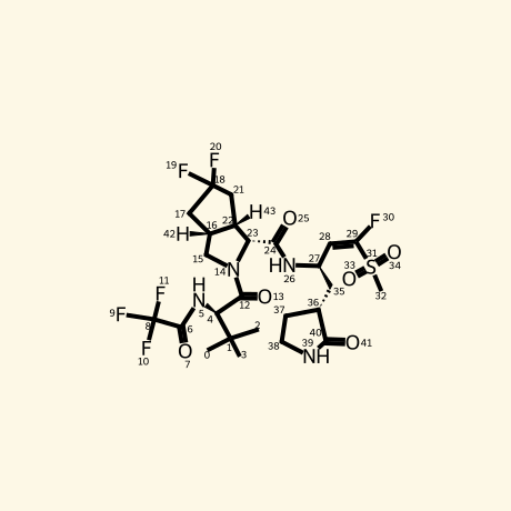 CC(C)(C)[C@@H](NC(=O)C(F)(F)F)C(=O)N1C[C@@H]2CC(F)(F)C[C@@H]2[C@@H]1C(=O)N[C@@H](/C=C(/F)S(C)(=O)=O)C[C@H]1CCNC1=O